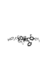 Cc1ccc(CN(CCc2ccccc2)S(=O)(=O)c2ccc3oc(C(=O)O)c(C)c3c2)c(F)c1